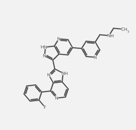 CCNCc1cncc(-c2cnc3[nH]nc(-c4nc5c(-c6ccccc6F)nccc5[nH]4)c3c2)c1